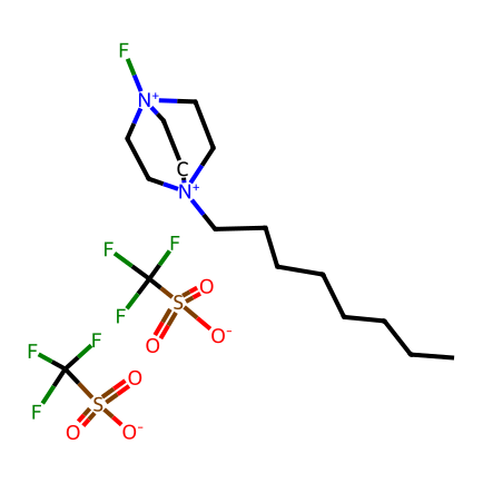 CCCCCCCC[N+]12CC[N+](F)(CC1)CC2.O=S(=O)([O-])C(F)(F)F.O=S(=O)([O-])C(F)(F)F